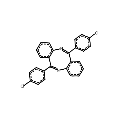 Clc1ccc(/C2=N/c3ccccc3/C(c3ccc(Cl)cc3)=N\c3ccccc32)cc1